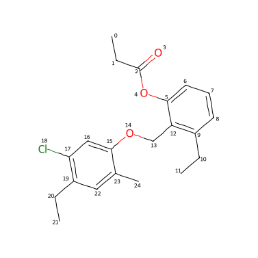 CCC(=O)Oc1cccc(CC)c1COc1cc(Cl)c(CC)cc1C